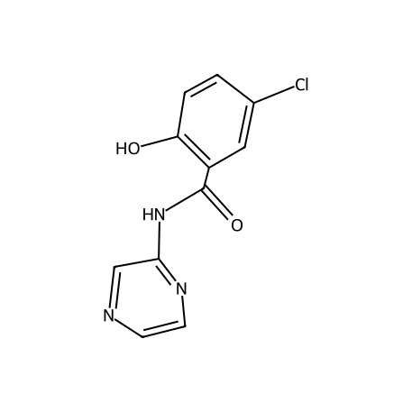 O=C(Nc1cnccn1)c1cc(Cl)ccc1O